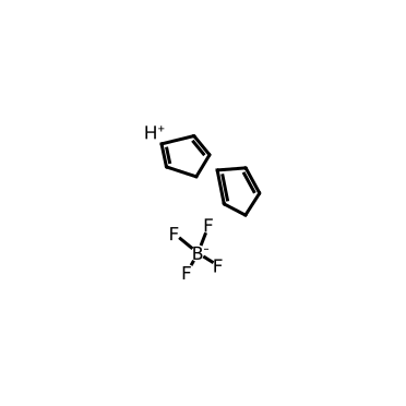 C1=CCC=C1.C1=CCC=C1.F[B-](F)(F)F.[H+]